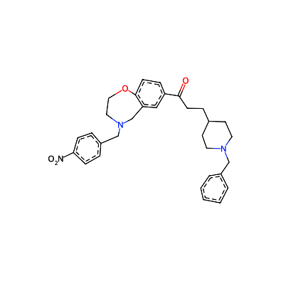 O=C(CCC1CCN(Cc2ccccc2)CC1)c1ccc2c(c1)CN(Cc1ccc([N+](=O)[O-])cc1)CCO2